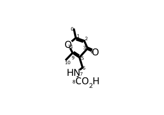 Cc1cc(=O)c(CNC(=O)O)c(C)o1